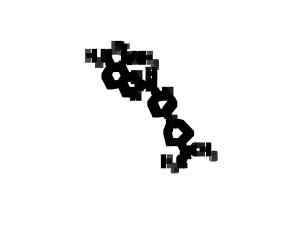 CC(C)N(N)c1c(N)ccc2cnc(Nc3ccc(N4CCC(N(C)C)CC4)cn3)nc12